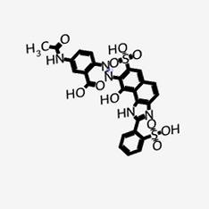 CC(=O)Nc1ccc(/N=N/c2c(S(=O)(=O)O)cc3ccc4nc(-c5ccccc5S(=O)(=O)O)[nH]c4c3c2O)c(C(=O)O)c1